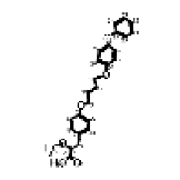 CO[C@@H](Cc1ccc(OCCCCOc2ccc(Oc3ccccc3)cc2)cc1)C(=O)O